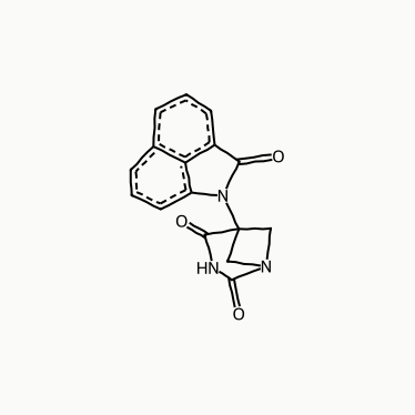 O=C1NC(=O)C2(N3C(=O)c4cccc5cccc3c45)CN1C2